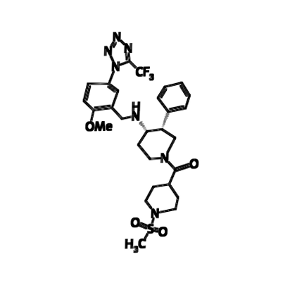 COc1ccc(-n2nnnc2C(F)(F)F)cc1CN[C@H]1CCN(C(=O)C2CCN(S(C)(=O)=O)CC2)C[C@H]1c1ccccc1